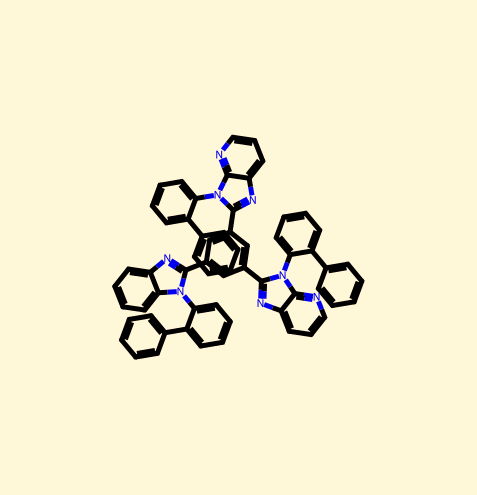 c1ccc(-c2ccccc2-n2c(-c3cc(-c4nc5cccnc5n4-c4ccccc4-c4ccccc4)cc(-c4nc5cccnc5n4-c4ccccc4-c4ccccc4)c3)nc3ccccc32)cc1